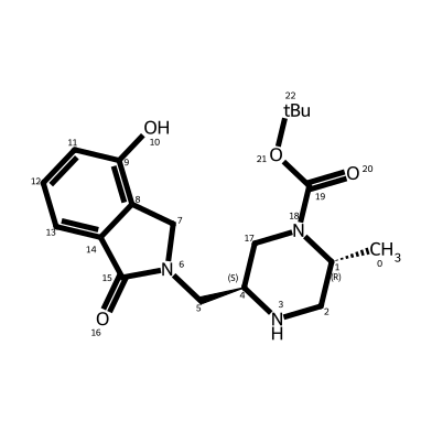 C[C@@H]1CN[C@@H](CN2Cc3c(O)cccc3C2=O)CN1C(=O)OC(C)(C)C